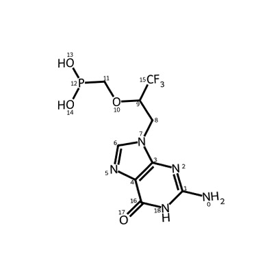 Nc1nc2c(ncn2CC(OCP(O)O)C(F)(F)F)c(=O)[nH]1